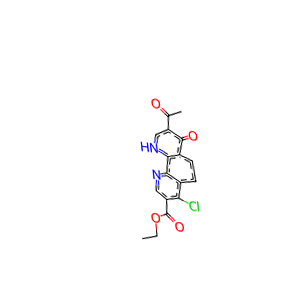 CCOC(=O)c1cnc2c(ccc3c(=O)c(C(C)=O)c[nH]c32)c1Cl